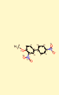 COc1ccc(-c2ccc([N+](=O)[O-])cc2)cc1[N+](=O)[O-]